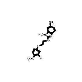 Cn1c(NCCOc2ccc(OC(F)(F)F)c(Cl)c2)nc2ccc(N)cc21